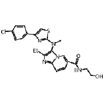 CCc1nc2ccc(C(=O)NCCO)cn2c1N(C)c1nc(-c2ccc(Cl)cc2)cs1